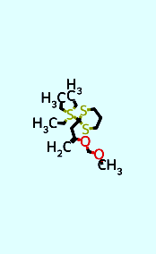 C=C(CC1(S(CC)(CC)CC)SCCCS1)OCOC